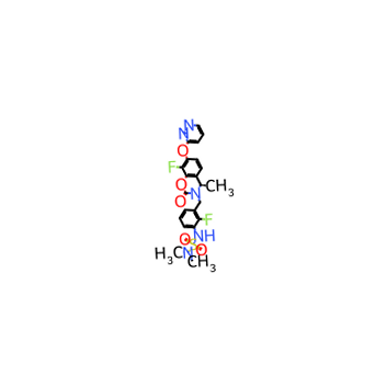 C[C@@H]1c2ccc(Oc3cccnn3)c(F)c2OC(=O)N1Cc1cccc(NS(=O)(=O)N(C)C)c1F